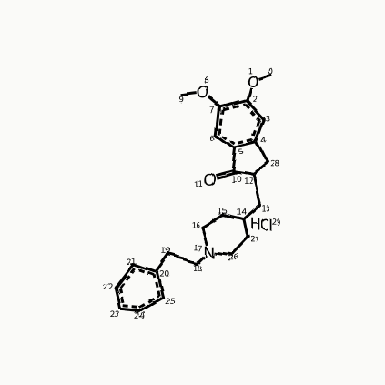 COc1cc2c(cc1OC)C(=O)C(CC1CCN(CCc3ccccc3)CC1)C2.Cl